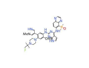 CN/C=C(\C=N)c1cc(Nc2nc(Nc3ccc4nccnc4c3P(C)(C)=O)c3cc[nH]c3n2)c(OC)cc1N1CCN(C(C)(C)CF)CC1